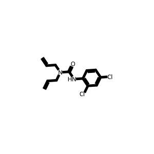 C=CCN(CC=C)C(=O)Nc1ccc(Cl)cc1Cl